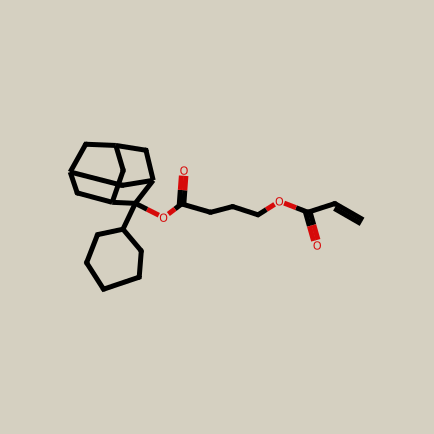 C=CC(=O)OCCCC(=O)OC1(C2CCCCC2)C2CC3CC(C2)CC1C3